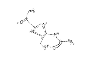 NC(=O)Nc1nc(C(N)=O)[nH]c1C(=O)O